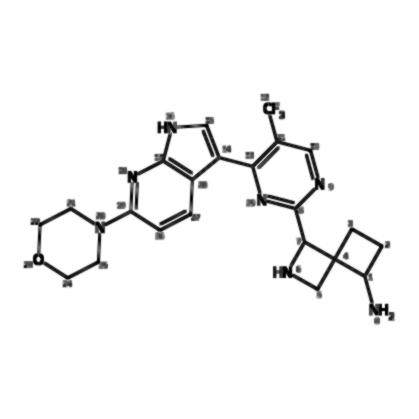 NC1CCC12CNC2c1ncc(C(F)(F)F)c(-c2c[nH]c3nc(N4CCOCC4)ccc23)n1